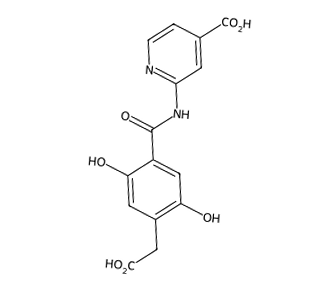 O=C(O)Cc1cc(O)c(C(=O)Nc2cc(C(=O)O)ccn2)cc1O